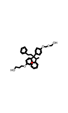 CC(c1ccccc1)C(CCc1ccccc1)(c1ccc(OCCCO)cc1)c1ccc(OCCCO)cc1